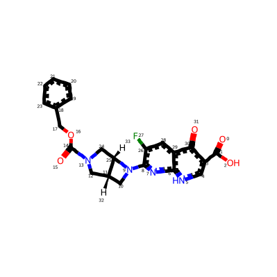 O=C(O)c1c[nH]c2nc(N3C[C@@H]4CN(C(=O)OCc5ccccc5)C[C@@H]43)c(F)cc2c1=O